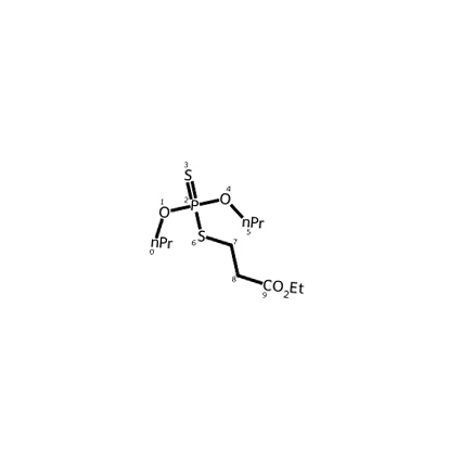 CCCOP(=S)(OCCC)SCCC(=O)OCC